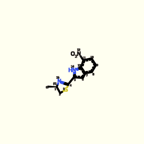 [CH2][C@@H]1CSC(c2cc3cccc([N+](=O)[O-])c3[nH]2)=N1